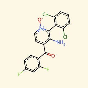 Nc1c(C(=O)c2ccc(F)cc2F)cc[n+]([O-])c1-c1c(Cl)cccc1Cl